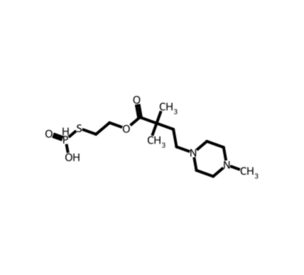 CN1CCN(CCC(C)(C)C(=O)OCCS[PH](=O)O)CC1